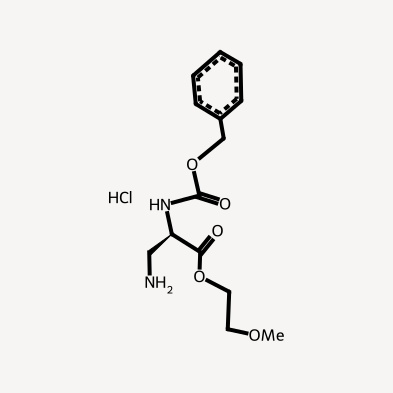 COCCOC(=O)[C@@H](CN)NC(=O)OCc1ccccc1.Cl